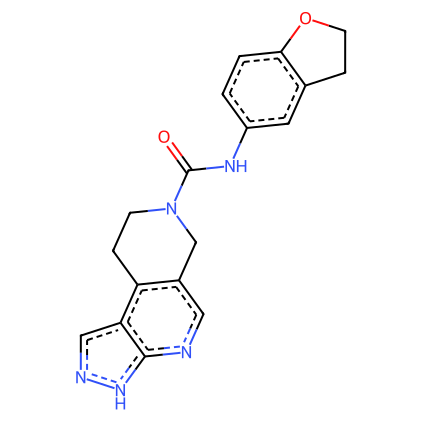 O=C(Nc1ccc2c(c1)CCO2)N1CCc2c(cnc3[nH]ncc23)C1